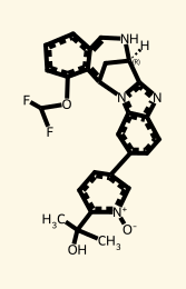 CC(C)(O)c1ccc(-c2ccc3nc4n(c3c2)C2=c3c(OC(F)F)cccc3=CN[C@@H]4C2)c[n+]1[O-]